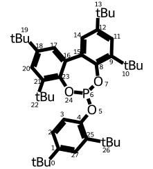 CC(C)(C)c1ccc(Op2oc3c(C(C)(C)C)cc(C(C)(C)C)cc3c3cc(C(C)(C)C)cc(C(C)(C)C)c3o2)c(C(C)(C)C)c1